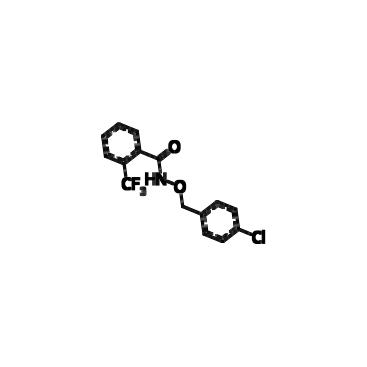 O=C(NOCc1ccc(Cl)cc1)c1ccccc1C(F)(F)F